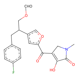 CN1CC(C(=O)c2cc(C(COC=O)Cc3ccc(F)cc3)co2)=C(O)C1=O